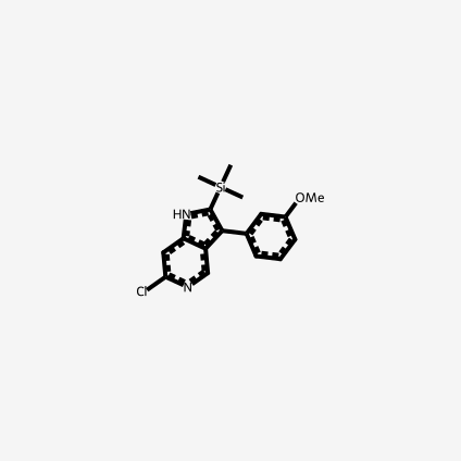 COc1cccc(-c2c([Si](C)(C)C)[nH]c3cc(Cl)ncc23)c1